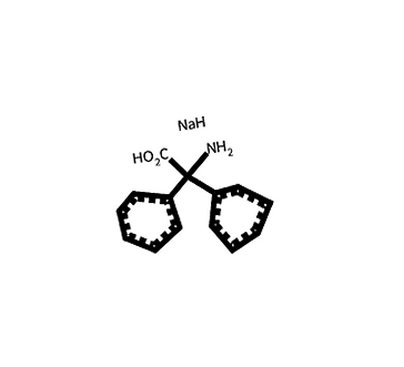 NC(C(=O)O)(c1ccccc1)c1ccccc1.[NaH]